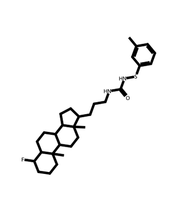 Cc1cccc(SNC(=O)NCCCC2CCC3C4CCC5C(F)CCCC5(C)C4CCC23C)c1